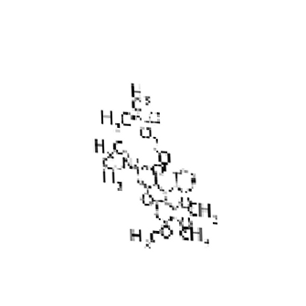 C=C(C)C(=O)OCCOC(=O)c1ccccc1-c1c2ccc(=[N+](CC)CC)cc-2oc2cc(OC)c(OC)c(OC)c12